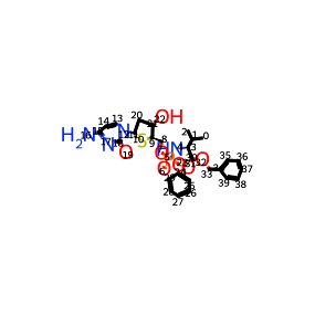 CC(C)[C@H](NP(=O)(OC[C@H]1S[C@@H](n2ccc(N)nc2=O)CC1O)Oc1ccccc1)C(=O)OCc1ccccc1